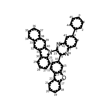 c1ccc(-c2ccc3nc(-c4ccc5c(c4)oc4ccccc45)c(-n4c5ccccc5c5cc6ccccc6cc54)nc3c2)cc1